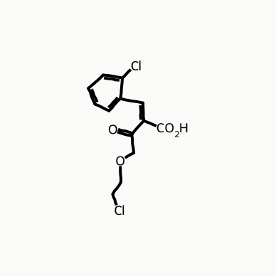 O=C(O)C(=Cc1ccccc1Cl)C(=O)COCCCl